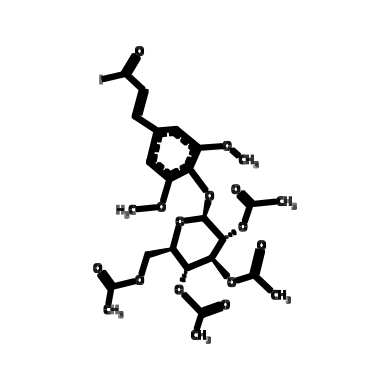 COc1cc(/C=C/C(=O)I)cc(OC)c1O[C@@H]1O[C@H](COC(C)=O)[C@@H](OC(C)=O)[C@H](OC(C)=O)[C@H]1OC(C)=O